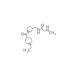 CCN1CCC(C(=O)N2CCC(CNC(=O)CNC)C2)CC1